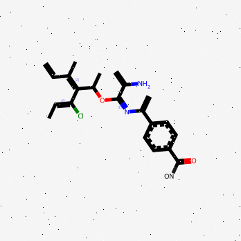 C=C/C(C)=C(\C(Cl)=C\C)C(C)O/C(=N/C(=C)c1ccc(C(=O)N=O)cc1)C(=C)N